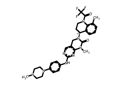 Cc1cccc2c1N(C(=O)C(F)(F)F)CC[C@@H]2N1Cc2cnc(Nc3ccc(N4CCN(C)CC4)cc3)nc2N(C)C1=O